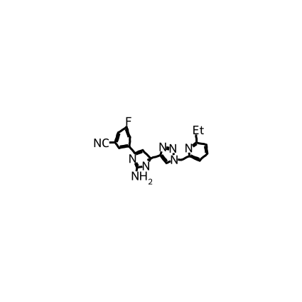 CCc1cccc(Cn2cc(-c3cc(-c4cc(F)cc(C#N)c4)nc(N)n3)nn2)n1